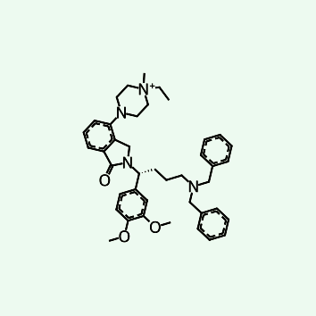 CC[N+]1(C)CCN(c2cccc3c2CN([C@H](CCCN(Cc2ccccc2)Cc2ccccc2)c2ccc(OC)c(OC)c2)C3=O)CC1